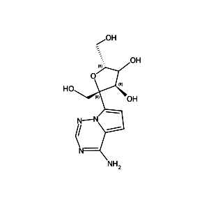 Nc1ncnn2c([C@]3(CO)O[C@H](CO)C(O)[C@H]3O)ccc12